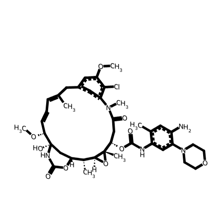 COc1cc2cc(c1Cl)N(C)C(=O)C[C@H](OC(=O)Nc1cc(N3CCOCC3)c(N)cc1C)[C@]1(C)O[C@H]1[C@H](C)[C@@H]1C[C@@](O)(NC(=O)O1)[C@H](OC)/C=C/C=C(\C)C2